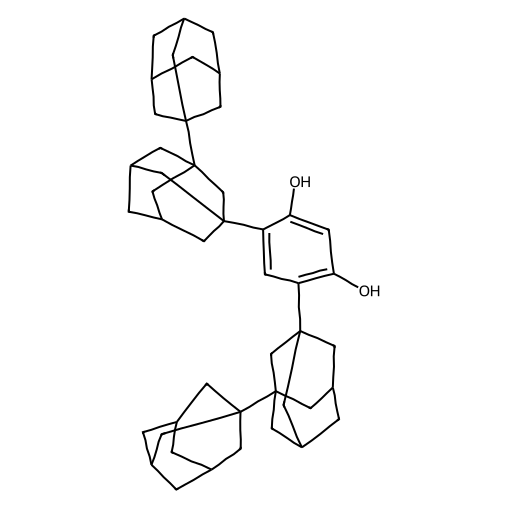 Oc1cc(O)c(C23CC4CC(C2)CC(C25CC6CC(CC(C6)C2)C5)(C4)C3)cc1C12CC3CC(C1)CC(C14CC5CC(CC(C5)C1)C4)(C3)C2